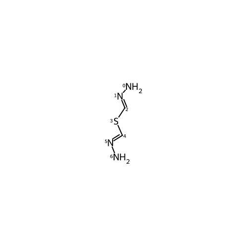 NN=CSC=NN